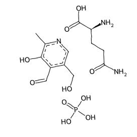 Cc1ncc(CO)c(C=O)c1O.NC(=O)CC[C@H](N)C(=O)O.O=P(O)(O)O